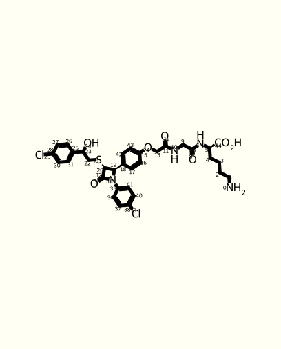 NCCCC[C@@H](NC(=O)CNC(=O)COc1ccc([C@@H]2[C@@H](SCC(O)c3ccc(Cl)cc3)C(=O)N2c2ccc(Cl)cc2)cc1)C(=O)O